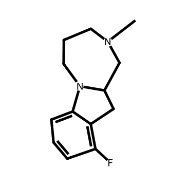 CN1CCCN2c3cccc(F)c3CC2C1